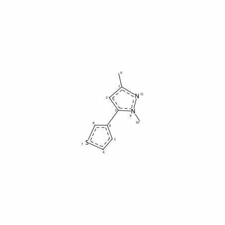 Cc1cc(-c2ccsc2)n(C)n1